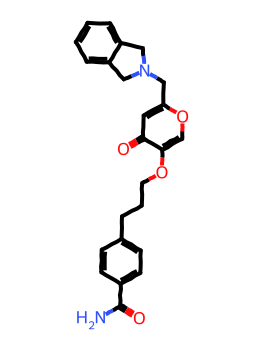 NC(=O)c1ccc(CCCOc2coc(CN3Cc4ccccc4C3)cc2=O)cc1